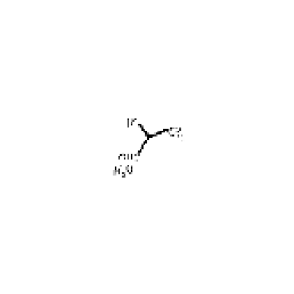 CC(Br)C=O.O